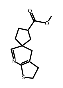 COC(=O)C1CCC2(C=NC3=C(CCS3)C2)C1